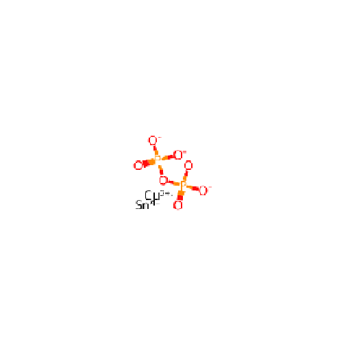 O=P([O-])([O-])OP(=O)([O-])[O-].[Cu+2].[Sn+4]